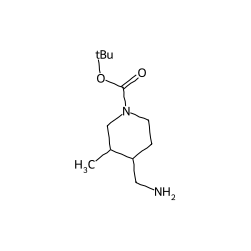 CC1CN(C(=O)OC(C)(C)C)CCC1CN